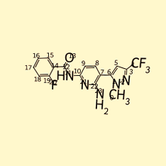 Cn1nc(C(F)(F)F)cc1-c1ccc(NC(=O)c2ccccc2F)nc1N